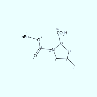 CCCCOC(=O)N1CC(C)CC1C(=O)O